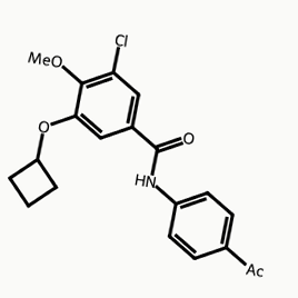 COc1c(Cl)cc(C(=O)Nc2ccc(C(C)=O)cc2)cc1OC1CCC1